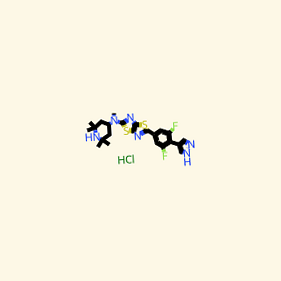 CN(c1nc2sc(-c3cc(F)c(-c4cn[nH]c4)c(F)c3)nc2s1)C1CC(C)(C)NC(C)(C)C1.Cl